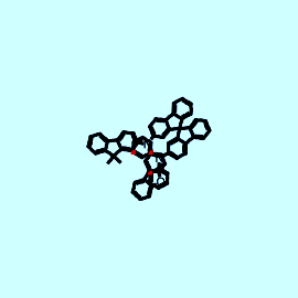 CC1(C)c2ccccc2-c2ccc(N(c3ccc4c(c3)C3(c5ccccc5-c5ccc(N(c6ccccc6)c6ccccc6)cc53)c3ccccc3-4)c3ccc4oc5ccccc5c4c3)cc21